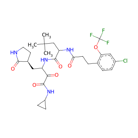 CC(C)(C)CC(NC(=O)CCc1ccc(Cl)cc1OC(F)(F)F)C(=O)NC(C[C@@H]1CCNC1=O)C(=O)C(=O)NC1CC1